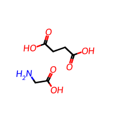 NCC(=O)O.O=C(O)CCC(=O)O